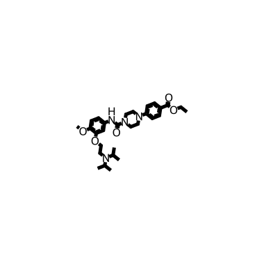 CCOC(=O)c1ccc(N2CCN(C(=O)Nc3ccc(OC)c(OCCN(C(C)C)C(C)C)c3)CC2)cc1